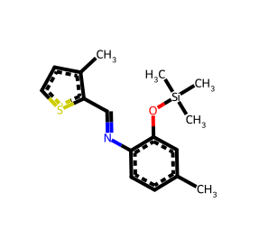 Cc1ccc(N=Cc2sccc2C)c(O[Si](C)(C)C)c1